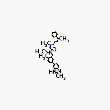 CCCN(Cc1cc(-c2ccc3nc(C)[nH]c3c2)ccc1C)C(=O)/C=C(/C)CCCC(C)c1ccccc1